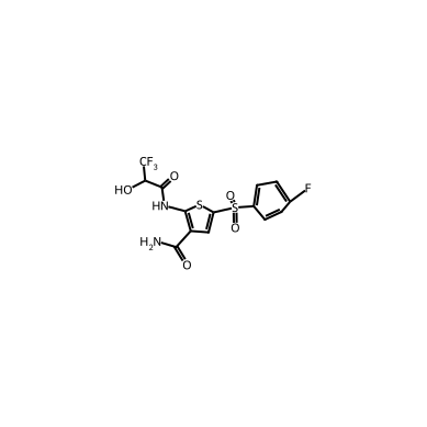 NC(=O)c1cc(S(=O)(=O)c2ccc(F)cc2)sc1NC(=O)C(O)C(F)(F)F